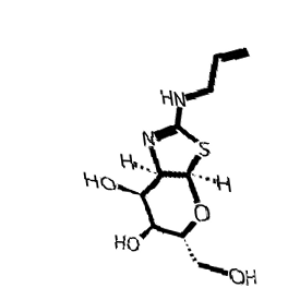 C=CCNC1=N[C@@H]2[C@H](O)[C@H](O)[C@@H](CO)O[C@@H]2S1